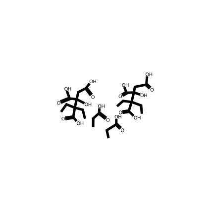 CCC(=O)O.CCC(=O)O.CCC(CC)(C(=O)O)C(O)(CC(=O)O)C(=O)O.CCC(CC)(C(=O)O)C(O)(CC(=O)O)C(=O)O